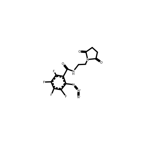 [N-]=[N+]=Nc1c(F)c(F)c(F)c(F)c1C(=O)NC[CH]N1C(=O)CCC1=O